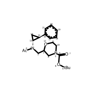 CC(=O)N(CC1CN(C(=O)OC(C)(C)C)CCO1)[C@@H]1C[C@H]1c1ccccc1